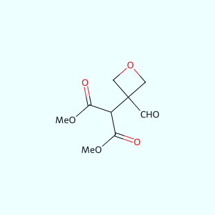 COC(=O)C(C(=O)OC)C1(C=O)COC1